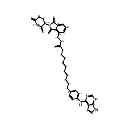 C=C(CCCCCCCCCCc1ccc(Nc2ncnc3[nH]ccc23)cc1)CCc1cccc2c(=C)n(C3CCC(=C)NC3=C)c(=C)c12